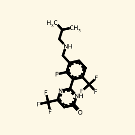 CC(C)CNCc1ccc(C(F)(F)F)c(-c2nc(C(F)(F)F)cc(=O)[nH]2)c1F